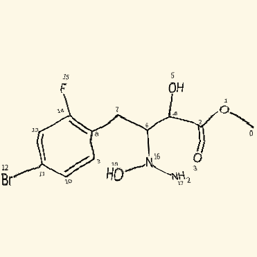 COC(=O)C(O)C(Cc1ccc(Br)cc1F)N(N)O